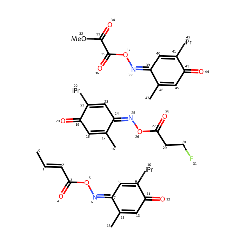 C/C=C/C(=O)O/N=C1\C=C(C(C)C)C(=O)C=C1C.CC1=CC(=O)C(C(C)C)=C/C1=N/OC(=O)CCF.COC(=O)C(=O)O/N=C1\C=C(C(C)C)C(=O)C=C1C